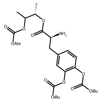 COC(=O)OC(C)[C@H](C)OC(=O)[C@@H](N)Cc1ccc(OC(=O)OCC(C)C)c(OC(=O)OCC(C)C)c1